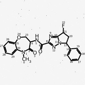 CN1C(=O)C(NC(=O)c2nc3n(n2)C(c2ccccc2)CC3F)COc2ccccc21